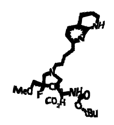 COCC(C)(F)CN(CCCCc1ccc2c(n1)NCCC2)CCC(NC(=O)OC(C)(C)C)C(=O)O